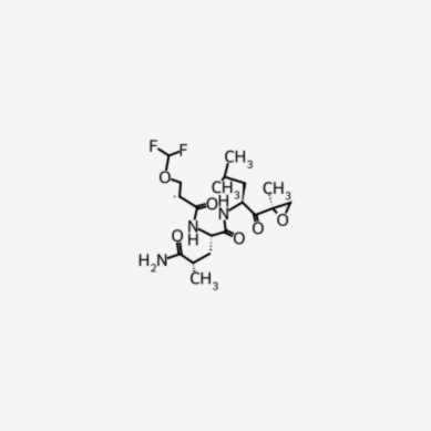 CC(C)C[C@H](NC(=O)[C@H](C[C@H](C)C(N)=O)NC(=O)[CH]COC(F)F)C(=O)[C@@]1(C)CO1